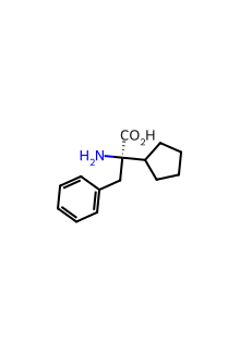 N[C@@](Cc1ccccc1)(C(=O)O)C1CCCC1